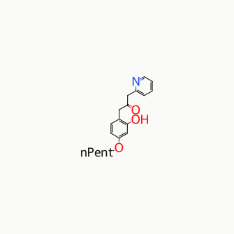 CCCCCOc1ccc(CC(=O)Cc2ccccn2)c(O)c1